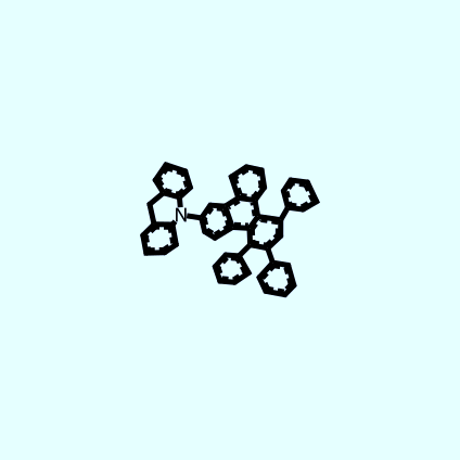 c1ccc(-c2cc(-c3ccccc3)c3c4ccccc4c4cc(N5c6ccccc6Cc6ccccc65)ccc4c3c2-c2ccccc2)cc1